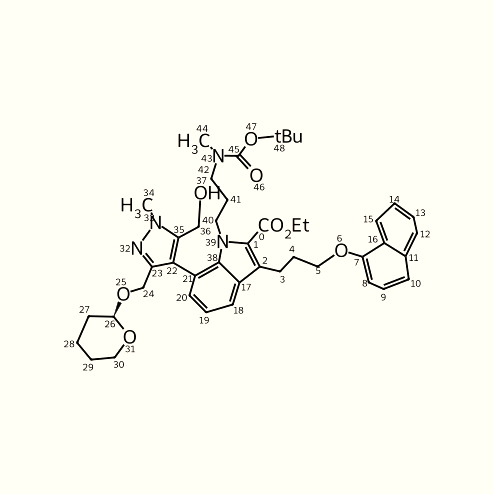 CCOC(=O)c1c(CCCOc2cccc3ccccc23)c2cccc(-c3c(CO[C@@H]4CCCCO4)nn(C)c3CO)c2n1CCCN(C)C(=O)OC(C)(C)C